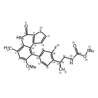 COc1cc(C)c2[nH]c(=O)c3sccc3c2c1-c1ccc([C@H](C)CNC(=O)OC(C)(C)C)c(F)c1